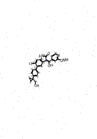 COc1cc(/C(O)=C2\C(=O)Nc3cc(Cl)c(-c4ccc(C5(CO)CC5)cc4)cc32)ccn1